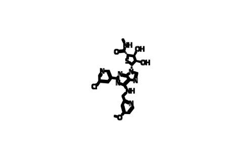 CNC(=O)[C@H]1S[C@@H](n2cnc3c(NCc4cc(OC)ccn4)nc(-c4cncc(Cl)c4)nc32)[C@H](O)[C@@H]1O